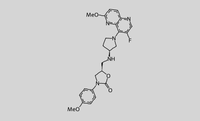 COc1ccc(N2C[C@@H](CN[C@H]3CCN(c4c(F)cnc5ccc(OC)nc45)C3)OC2=O)cc1